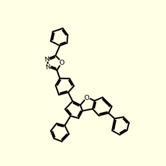 c1ccc(-c2ccc3oc4c(-c5ccc(-c6nnc(-c7ccccc7)o6)cc5)cc(-c5ccccc5)cc4c3c2)cc1